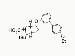 CCOc1ccc(-c2cccc(O[C@@H]3CC[C@@H]4C(C(C)(C)C)N(C(=O)O)C[C@@H]43)c2)cc1